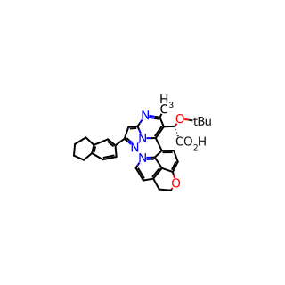 Cc1nc2cc(-c3ccc4c(c3)CCCC4)nn2c(-c2ccc3c4c(ccnc24)CCO3)c1[C@H](OC(C)(C)C)C(=O)O